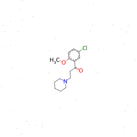 COc1ccc(Cl)cc1C(=O)CCN1CCCCC1